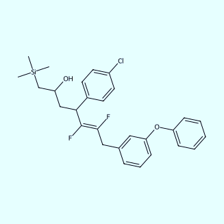 C[Si](C)(C)CC(O)CC(C(F)=C(F)Cc1cccc(Oc2ccccc2)c1)c1ccc(Cl)cc1